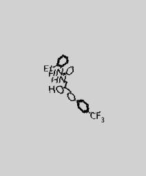 CCc1ccccc1NC(=O)NCC(O)COc1ccc(C(F)(F)F)cc1